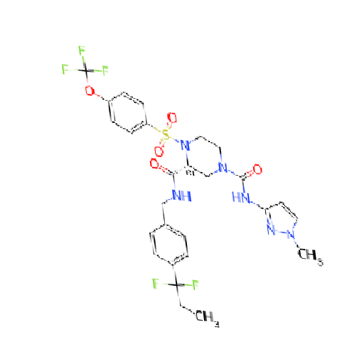 CCC(F)(F)c1ccc(CNC(=O)[C@H]2CN(C(=O)Nc3ccn(C)n3)CCN2S(=O)(=O)c2ccc(OC(F)(F)F)cc2)cc1